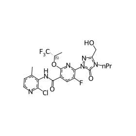 CCCn1c(CO)nn(-c2nc(O[C@@H](C)C(F)(F)F)c(C(=O)Nc3c(C)ccnc3Cl)cc2F)c1=O